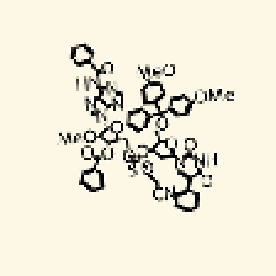 COc1ccc(C(OC[C@H]2O[C@@H](n3cc(-c4ccccc4)c(=O)[nH]c3=O)CC2OP(=S)(OCCC#N)OC[C@H]2O[C@@H](n3cnc4c(NC(=O)c5ccccc5)ncnc43)[C@@H](OC)[C@H]2OC(=O)c2ccccc2)(c2ccccc2)c2ccc(OC)cc2)cc1